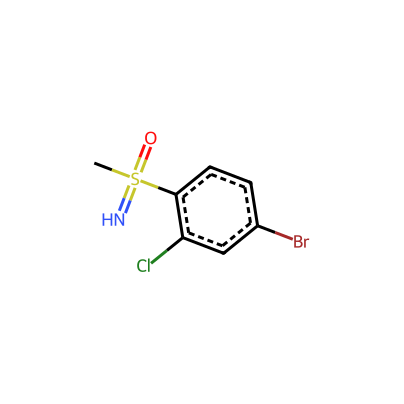 CS(=N)(=O)c1ccc(Br)cc1Cl